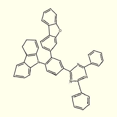 C1=Cc2c(c3ccccc3n2-c2ccc(-c3nc(-c4ccccc4)nc(-c4ccccc4)n3)cc2-c2ccc3c(c2)oc2ccccc23)CC1